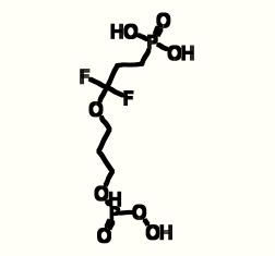 O=[PH](OO)OCCCOC(F)(F)CCP(=O)(O)O